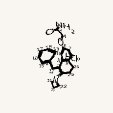 Cl.NC(=O)COc1ccc2c(c1)C(Cc1ccccc1)C(N1CCC1)CC2